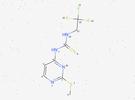 CSc1nccc(NC(=S)NCC(F)(F)F)n1